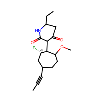 CC#CC1CCC(OC)C(C2C(=O)CC(CC)NC2=O)[C@@H](F)C1